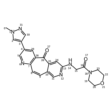 Cn1cc(-c2cnc3ccc4cnc(NCC(=O)N5CCOCC5)cc4c(=O)c3c2)cn1